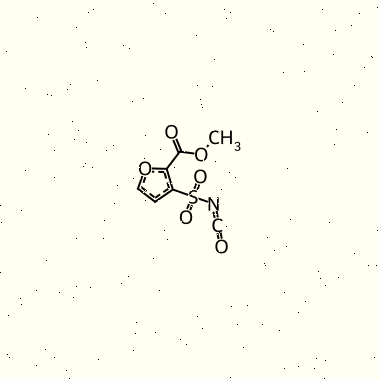 COC(=O)c1occc1S(=O)(=O)N=C=O